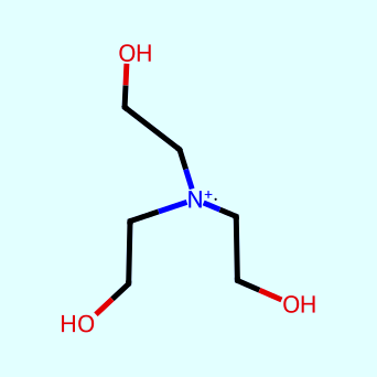 OCC[N+](CCO)CCO